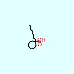 CCCCCCCCC1(C(=O)O)CCCCCCCC1